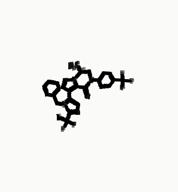 C[C@H]1CN(c2ccc(C(F)(F)F)cc2)C(=O)c2c(-c3cnc(C(F)(F)F)n3Cc3ccccc3)cnn21